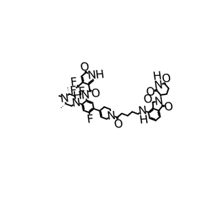 C[C@@H]1CN(c2cc(F)c(C3=CCN(C(=O)CCCCNc4cccc5c4C(=O)N(C4CCC(=O)NC4=O)C5=O)CC3)cc2NC(=O)c2c[nH]c(=O)cc2C(F)(F)F)C[C@H](C)N1C